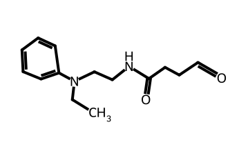 CCN(CCNC(=O)CCC=O)c1ccccc1